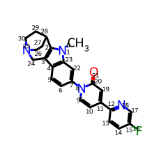 Cn1c2c(c3ccc(-n4ccc(-c5ccc(F)cn5)cc4=O)cc31)CN1CCC2CC1